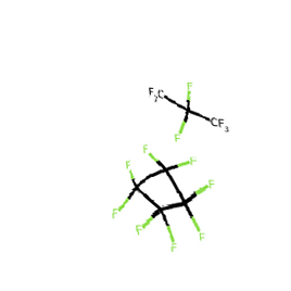 FC(F)(F)C(F)(F)C(F)(F)F.FC1(F)C(F)(F)C(F)(F)C1(F)F